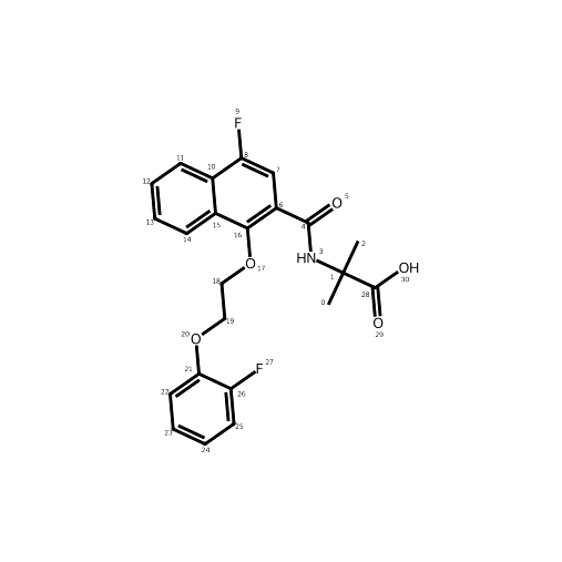 CC(C)(NC(=O)c1cc(F)c2ccccc2c1OCCOc1ccccc1F)C(=O)O